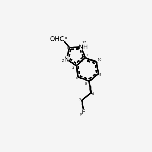 O=Cc1nc2cc(CCF)ccc2[nH]1